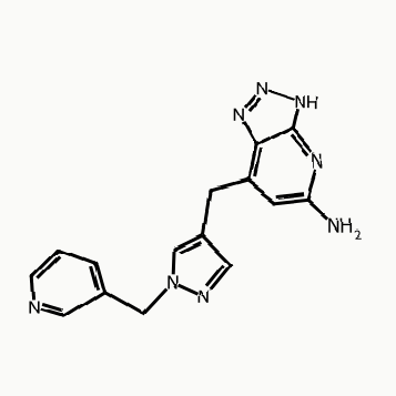 Nc1cc(Cc2cnn(Cc3cccnc3)c2)c2nn[nH]c2n1